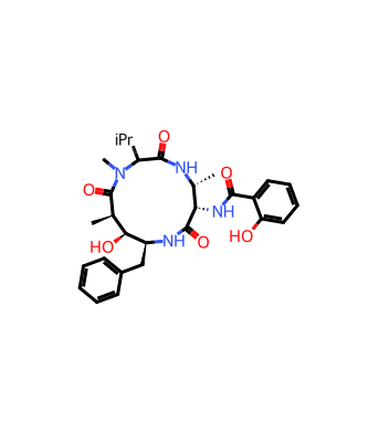 CC(C)C1C(=O)N[C@H](C)[C@H](NC(=O)c2ccccc2O)C(=O)N[C@@H](Cc2ccccc2)[C@@H](O)[C@@H](C)C(=O)N1C